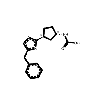 O=C(O)N[C@H]1CC[C@H](c2nc(Cc3ccccc3)cs2)C1